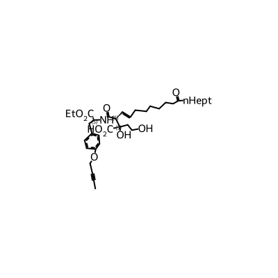 CC#CCOc1ccc(C[C@H](NC(=O)[C@@H](C=CCCCCCCC(=O)CCCCCCC)[C@@](O)(CCO)C(=O)O)C(=O)OCC)cc1